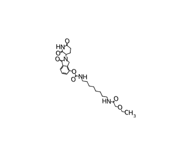 CCOCC(=O)NCCCCCCCCNC(=O)Oc1cccc2c1CN(C1CCC(=O)NC1=O)C2=O